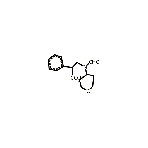 O=CN(CC(C(=O)O)c1ccccc1)C1CCOCC1